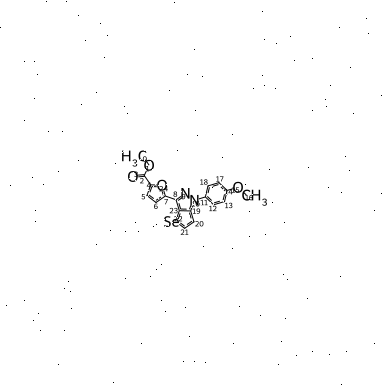 COC(=O)c1ccc(-c2nn(-c3ccc(OC)cc3)c3cc[se]c23)o1